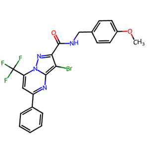 COc1ccc(CNC(=O)c2nn3c(C(F)(F)F)cc(-c4ccccc4)nc3c2Br)cc1